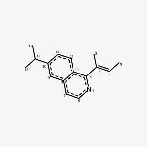 C/C=C(\C)c1nccc2cc(C(C)C)ccc12